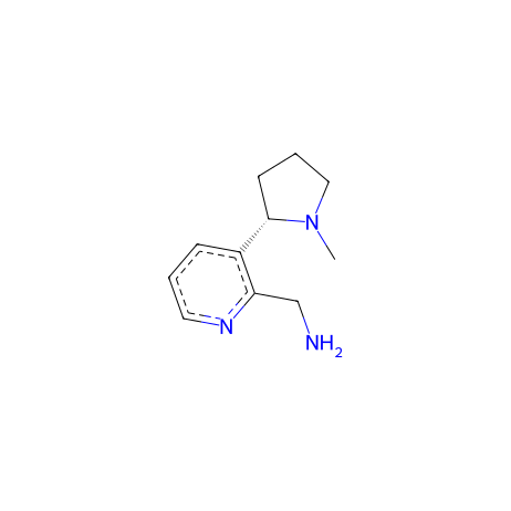 CN1CCC[C@H]1c1cccnc1CN